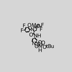 COc1c(N2C[C@H](OC(F)F)CC2C(=O)Nc2ccnc(S(=O)(=O)NC(=O)OC(C)(C)C)c2)ccc(F)c1F